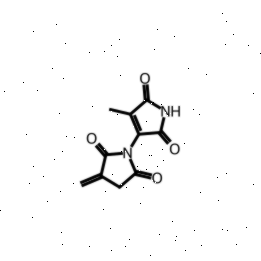 C=C1CC(=O)N(C2=C(C)C(=O)NC2=O)C1=O